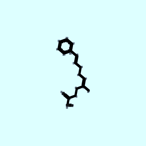 COC(=O)CCC(C)=CCCC=Cc1ccccc1